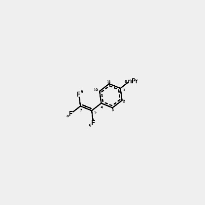 CCCc1ccc(C(F)=C(F)F)cc1